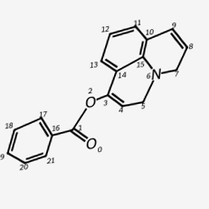 O=C(OC1=CCN2CC=Cc3cccc1c32)c1ccccc1